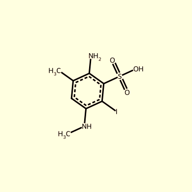 CNc1cc(C)c(N)c(S(=O)(=O)O)c1I